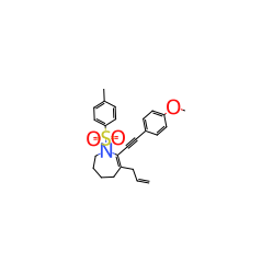 C=CCC1=C(C#Cc2ccc(OC)cc2)N(S(=O)(=O)c2ccc(C)cc2)CCCC1